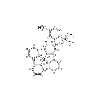 Cc1ccc([P+](C)(C)C)cc1.c1ccc([B-](c2ccccc2)(c2ccccc2)c2ccccc2)cc1